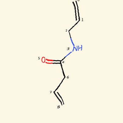 C=CCNC(=O)CC=C